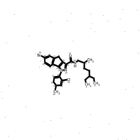 CCC(CC)CCC(C)CNC(=O)c1nn(C2=CCC(C)C=C2Cl)c2c1Cc1cc(Br)ccc1-2